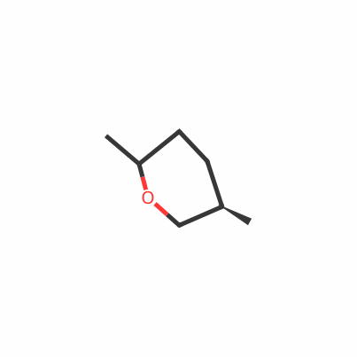 CC1CC[C@@H](C)CO1